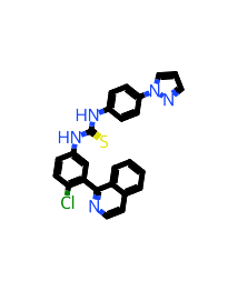 S=C(Nc1ccc(-n2cccn2)cc1)Nc1ccc(Cl)c(-c2nccc3ccccc23)c1